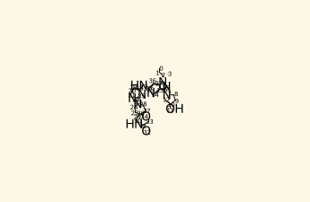 CC[C@H](C)n1nc(N2CC[C@@H](O)C2)c2cnc(Nc3ccnc(N4CCC5(CC4)CNC(=O)CO5)n3)cc21